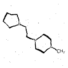 CN1CCN(C[CH]N2CCCC2)CC1